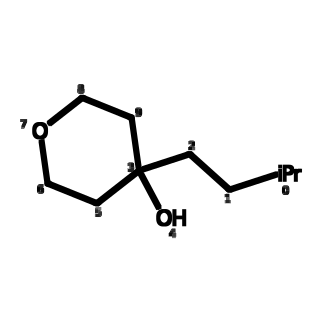 CC(C)CCC1(O)CCOCC1